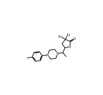 CCC1(CC)CC(C(C)N2CCN(c3ccc(C)cc3)CC2)OC1=O